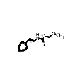 COCNC(=S)N/C=C/c1ccccc1